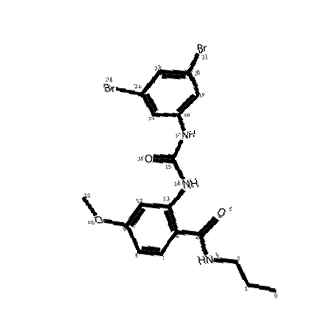 CCCNC(=O)c1ccc(OC)cc1NC(=O)Nc1cc(Br)cc(Br)c1